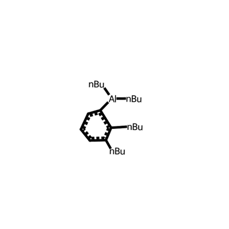 CCCCc1ccc[c]([Al]([CH2]CCC)[CH2]CCC)c1CCCC